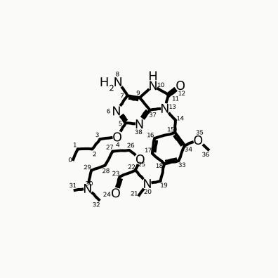 CCCCOc1nc(N)c2[nH]c(=O)n(Cc3ccc(CN(C)C(C=O)OCCCCN(C)C)cc3OC)c2n1